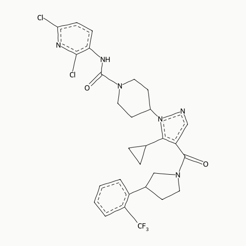 O=C(Nc1ccc(Cl)nc1Cl)N1CCC(n2ncc(C(=O)N3CCC(c4ccccc4C(F)(F)F)C3)c2C2CC2)CC1